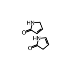 O=C1C=CCN1.O=C1CC=CN1